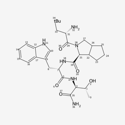 C[C@@H](O)[C@H](NC(=O)[C@H](Cc1c[nH]c2ccccc12)NC(=O)[C@@H]1C2CCCC2CN1C(=O)[C@@H](N)CC(C)(C)C)C(N)=O